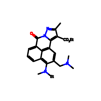 CCOC(=O)c1c(C)nn2c(=O)c3cccc4c(N(C)CC)c(CN(C)C)cc(c43)c12